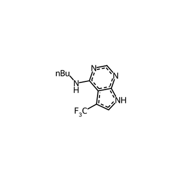 CCCCNc1ncnc2[nH]cc(C(F)(F)F)c12